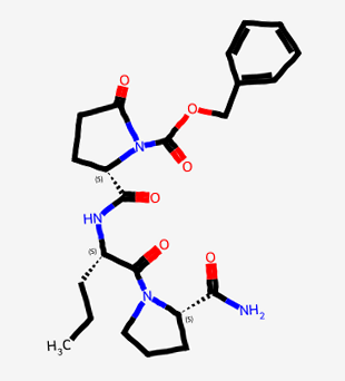 CCC[C@H](NC(=O)[C@@H]1CCC(=O)N1C(=O)OCc1ccccc1)C(=O)N1CCC[C@H]1C(N)=O